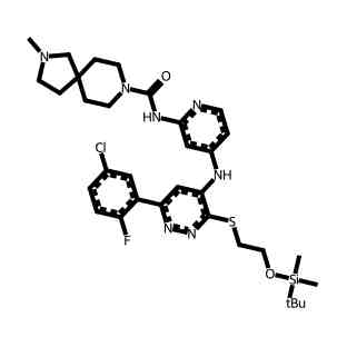 CN1CCC2(CCN(C(=O)Nc3cc(Nc4cc(-c5cc(Cl)ccc5F)nnc4SCCO[Si](C)(C)C(C)(C)C)ccn3)CC2)C1